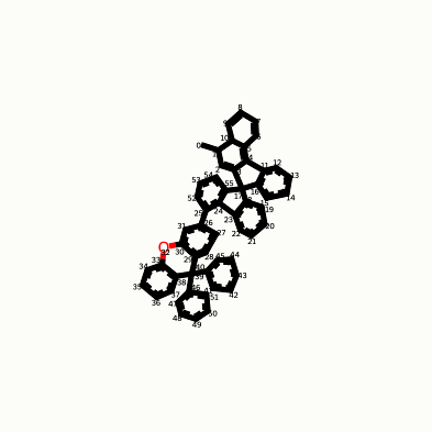 CC1C=C2C(=C3C=CC=CC31)c1ccccc1C21c2ccccc2-c2c(-c3ccc4c(c3)Oc3ccccc3C4(c3ccccc3)c3ccccc3)cccc21